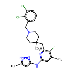 Cc1cc(Nc2cc(C)c(F)c(CC3(C(=O)O)CCN(Cc4cccc(Cl)c4Cl)CC3)n2)n[nH]1